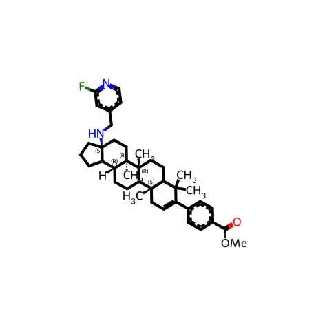 COC(=O)c1ccc(C2=CC[C@@]3(C)C(CC[C@]4(C)C3CC[C@@H]3C5CCC[C@]5(NCc5ccnc(F)c5)CC[C@]34C)C2(C)C)cc1